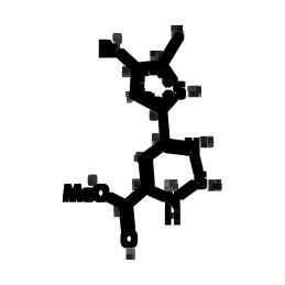 COC(=O)C1=CC(c2cc(Br)c(C)s2)=NSN1